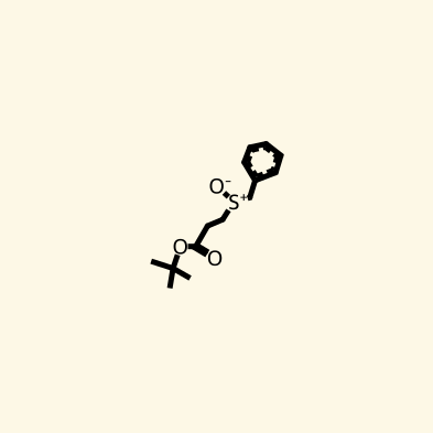 CC(C)(C)OC(=O)CC[S+]([O-])Cc1ccccc1